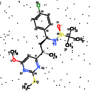 COc1cc([C@@H](C)C[C@H](N[S@@+]([O-])C(C)(C)C)c2ccc(Cl)cc2)nc(SC)n1